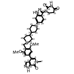 COc1cc(-c2cn(C)c(=O)c3[nH]ncc23)cc(OC)c1CN1CCC(C2CCN(c3ccc4c(N5CCC(=O)NC5=O)n[nH]c4c3)CC2)CC1